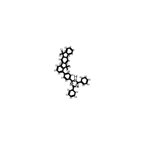 CC1(C)C2=CC3c4ccccc4C(C)(C)C3C=C2c2cccc(-c3ccc(C4N=C(C5C=CC=CC5)N=C(C5=CC=CCC5)N4)cc3)c21